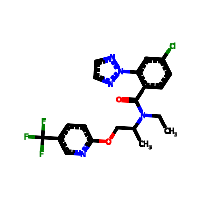 CCN(C(=O)c1ccc(Cl)cc1-n1nccn1)C(C)COc1ccc(C(F)(F)F)cn1